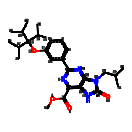 COC(=O)c1nc(-c2cccc(O[Si](C(C)C)(C(C)C)C(C)C)c2)nc2c1[nH]c(=O)n2CC(C)C